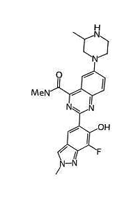 CNC(=O)c1nc(-c2cc3cn(C)nc3c(F)c2O)nc2ccc(N3CCNC(C)C3)cc12